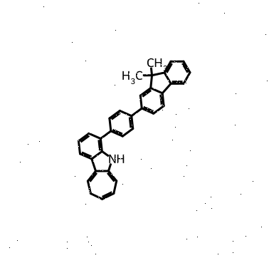 CC1(C)c2ccccc2-c2ccc(-c3ccc(-c4cccc5c6c([nH]c45)=CC=CCC=6)cc3)cc21